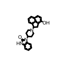 O=c1[nH]c2ccccc2n1C1CCN(C2Cc3c(O)ccc4cccc2c34)CC1